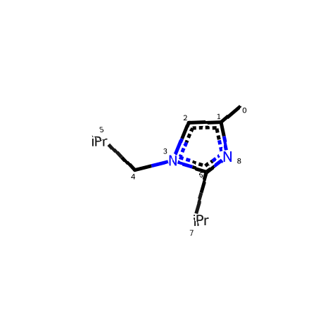 Cc1cn(CC(C)C)c(C(C)C)n1